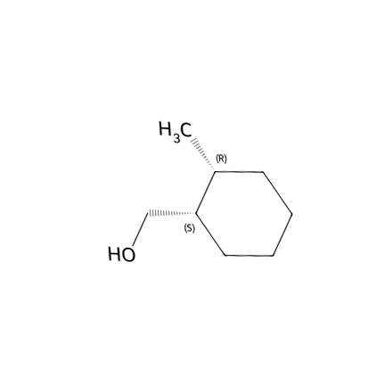 C[C@@H]1CCCC[C@@H]1CO